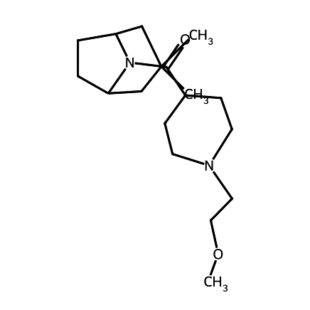 COCCN1CCC(C(=O)N2C3CCC2CC(C)(C)C3)CC1